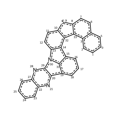 c1ccc2c(c1)ccc1sc3ccc4c(c5cccc6c7nc8ccccc8nc7n4c65)c3c12